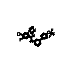 CN(c1cccc(-c2ccc(OC(F)(F)F)cc2)c1)c1nc2nncn2c2cc(Cl)c(F)cc12